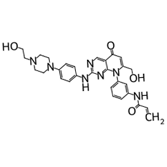 C=CC(=O)Nc1cccc(-n2c(CO)cc(=O)c3cnc(Nc4ccc(N5CCN(CCO)CC5)cc4)nc32)c1